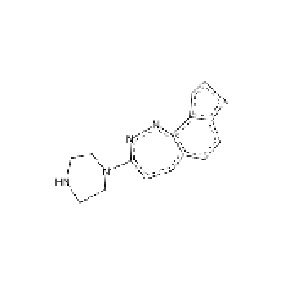 c1cc2c(ccc3ccc(N4CCNCC4)nnc32)n1